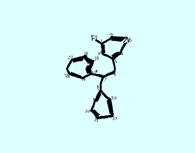 Fc1cncc(CC(c2ccccc2)c2ccccc2)c1